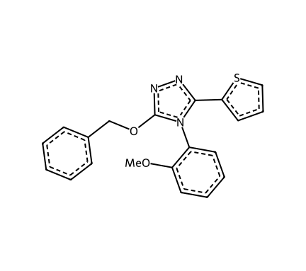 COc1ccccc1-n1c(OCc2ccccc2)nnc1-c1cccs1